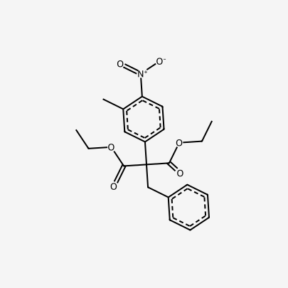 CCOC(=O)C(Cc1ccccc1)(C(=O)OCC)c1ccc([N+](=O)[O-])c(C)c1